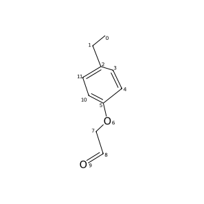 CCc1ccc(OCC=O)cc1